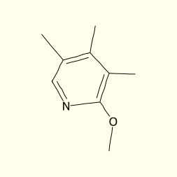 COc1ncc(C)c(C)c1C